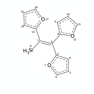 [SiH3]C(=C(c1ccco1)c1ccco1)c1ccco1